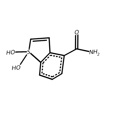 NC(=O)c1cccc2c1C=CS2(O)O